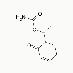 CC(OC(N)=O)C1CCC=CC1=O